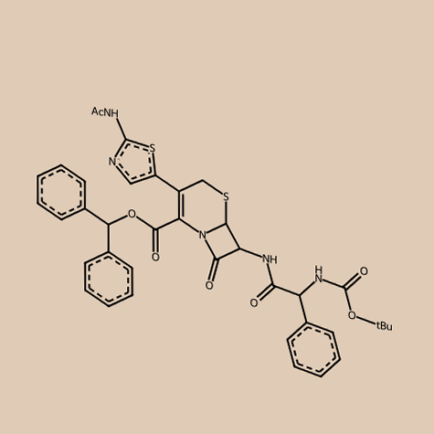 CC(=O)Nc1ncc(C2=C(C(=O)OC(c3ccccc3)c3ccccc3)N3C(=O)C(NC(=O)C(NC(=O)OC(C)(C)C)c4ccccc4)C3SC2)s1